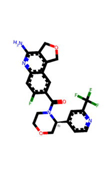 Nc1nc2cc(F)c(C(=O)N3CCOC[C@@H]3c3ccnc(C(F)(F)F)c3)cc2c2c1COC2